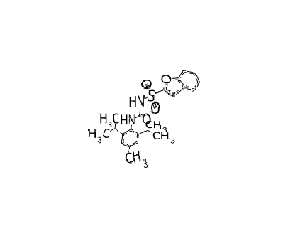 Cc1cc(C(C)C)c(NC(=O)NS(=O)(=O)c2cc3ccccc3o2)c(C(C)C)c1